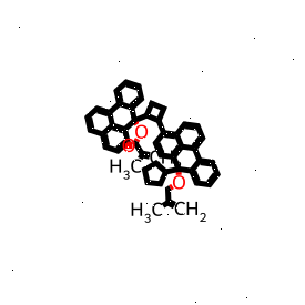 C=C(C)COC1(C2CCCC2)c2ccccc2-c2cccc3c(C4CCC4C4(OC(=O)C(=C)C)c5ccccc5-c5cccc6cccc4c56)ccc1c23